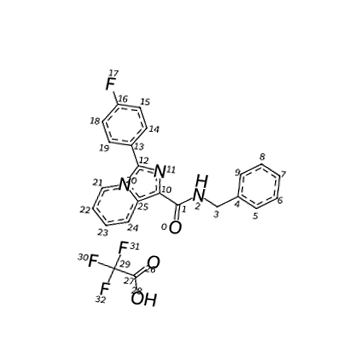 O=C(NCc1ccccc1)c1nc(-c2ccc(F)cc2)n2ccccc12.O=C(O)C(F)(F)F